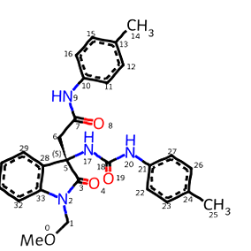 COCN1C(=O)[C@@](CC(=O)Nc2ccc(C)cc2)(NC(=O)Nc2ccc(C)cc2)c2ccccc21